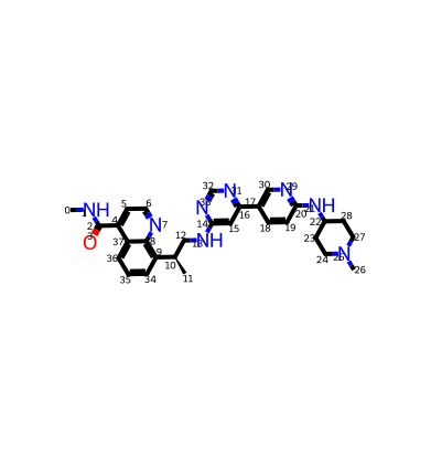 CNC(=O)c1ccnc2c([C@H](C)CNc3cc(-c4ccc(NC5CCN(C)CC5)nc4)ncn3)cccc12